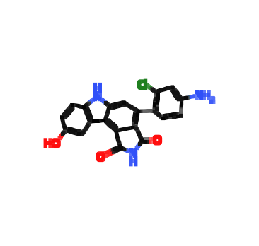 Nc1ccc(-c2cc3[nH]c4ccc(O)cc4c3c3c2C(=O)NC3=O)c(Cl)c1